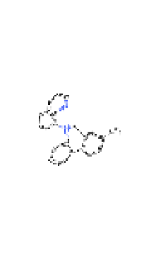 FC(F)(F)c1ccc2c(c1)CN(c1cccc3cccnc13)c1ccccc1-2